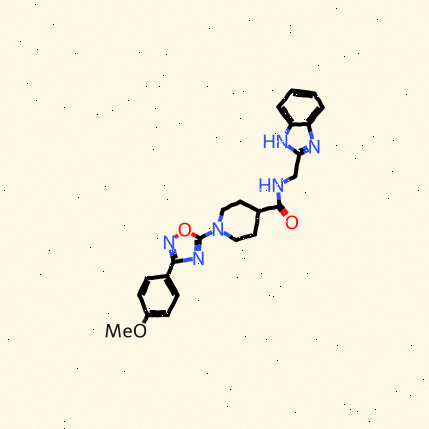 COc1ccc(-c2noc(N3CCC(C(=O)NCc4nc5ccccc5[nH]4)CC3)n2)cc1